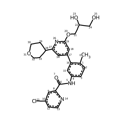 Cc1ccc(NC(=O)c2cc(Cl)ccn2)cc1-c1cc(OCC(O)CO)nc(C2CCOCC2)c1